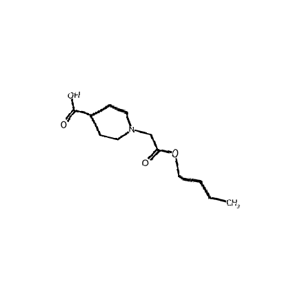 CCCCOC(=O)CN1CCC(C(=O)O)CC1